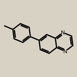 Cc1ccc(-c2ccc3nccnc3c2)cc1